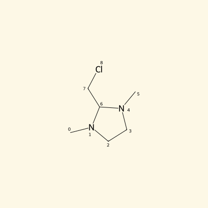 CN1CCN(C)C1CCl